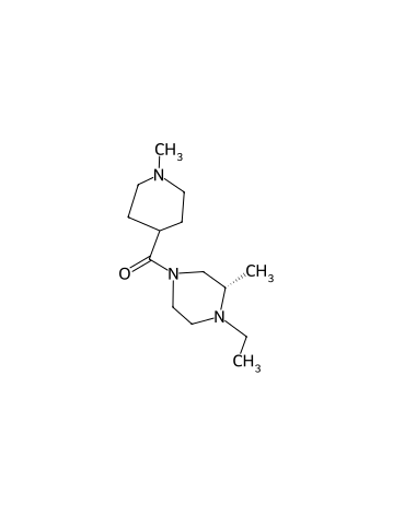 CCN1CCN(C(=O)C2CCN(C)CC2)C[C@@H]1C